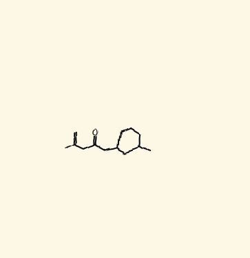 C=C(C)CC(=O)CC1CCCC(C)C1